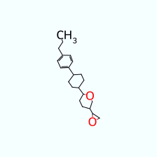 CCCc1ccc(C2CCC(C3CCC(C4CO4)CO3)CC2)cc1